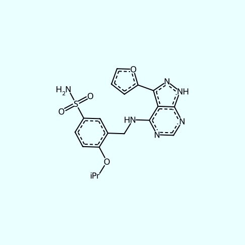 CC(C)Oc1ccc(S(N)(=O)=O)cc1CNc1ncnc2[nH]nc(-c3ccco3)c12